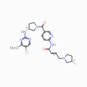 COc1nc(N[C@@H]2CCN(C(=O)c3ccc(NC(=O)/C=C/CN4CC[C@@H](F)C4)nc3)C2)ncc1Cl